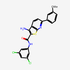 COc1cccc(-c2ccc3c(N)c(C(=O)Nc4cc(Cl)cc(Cl)c4)sc3n2)c1